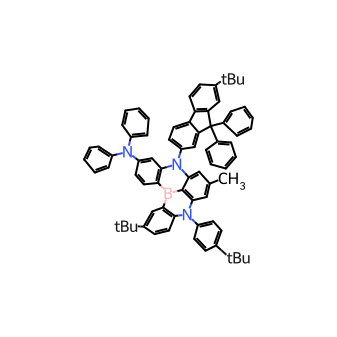 Cc1cc2c3c(c1)N(c1ccc4c(c1)C(c1ccccc1)(c1ccccc1)c1cc(C(C)(C)C)ccc1-4)c1cc(N(c4ccccc4)c4ccccc4)ccc1B3c1cc(C(C)(C)C)ccc1N2c1ccc(C(C)(C)C)cc1